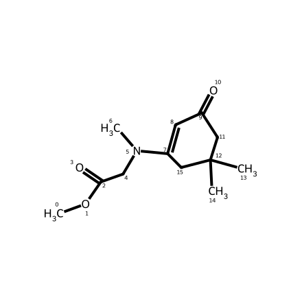 COC(=O)CN(C)C1=CC(=O)CC(C)(C)C1